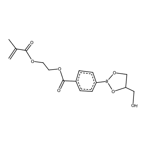 C=C(C)C(=O)OCCOC(=O)c1ccc(B2OCC(CO)O2)cc1